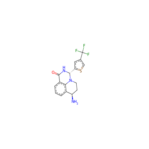 N[C@@H]1CCN2c3c(cccc31)C(=O)N[C@@H]2c1cc(C(F)(F)F)cs1